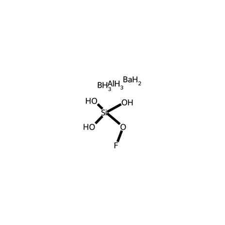 B.O[Si](O)(O)OF.[AlH3].[BaH2]